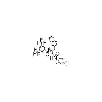 Cc1cc(Cl)ccc1NC(=O)CC(Cc1ccc2ccccc2c1)N(C)C(=O)c1cc(C(F)(F)F)cc(C(F)(F)F)c1